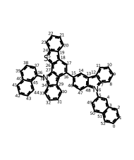 c1ccc2cc(-n3c4ccccc4c4cc(-c5cc6c7ccccc7sc6c6c5c5ccccc5n6-c5cccc6ccccc56)ccc43)ccc2c1